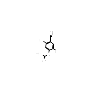 N#Cc1cc(F)c(SC(=O)S)cc1Cl